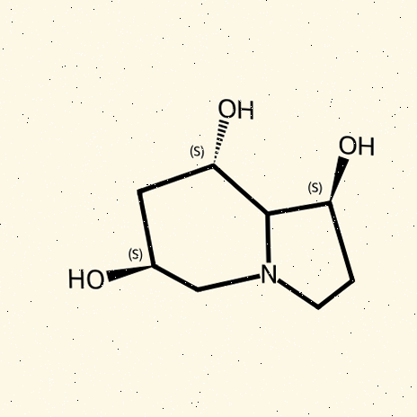 O[C@H]1C[C@H](O)C2[C@@H](O)CCN2C1